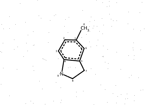 Cc1ccc2c(c1)CC[N]2